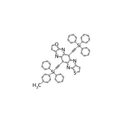 Cc1ccc([Si](C#Cc2c3nc4ccoc4nc3c(C#C[Si](c3ccccc3)(c3ccccc3)c3ccccc3)c3nc4ccsc4nc23)(c2ccccc2)c2ccccc2)cc1